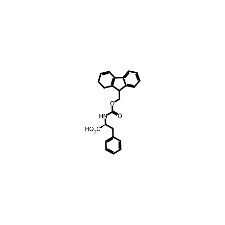 O=C(N[C@@H](Cc1ccccc1)C(=O)O)OCC1C2=C(C=CCC2)c2ccccc21